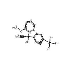 C#CC(O)(c1ccc(C(F)(F)F)cc1)c1ccccc1OC